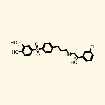 O=C(O)c1cc(S(=O)(=O)c2ccc(CCCNC[C@H](O)c3cccc(Cl)c3)cc2)ccc1O